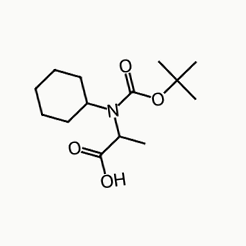 CC(C(=O)O)N(C(=O)OC(C)(C)C)C1CCCCC1